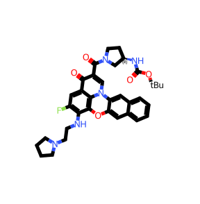 CC(C)(C)OC(=O)N[C@@H]1CCN(C(=O)c2cn3c4c(c(NCCN5CCCC5)c(F)cc4c2=O)Oc2cc4ccccc4cc2-3)C1